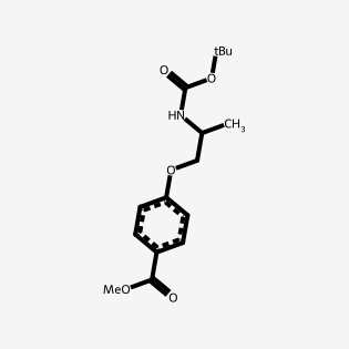 COC(=O)c1ccc(OCC(C)NC(=O)OC(C)(C)C)cc1